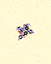 CC(C)Nc1nc(Nc2cc(N(c3ccc(C(=O)NN4CCN(C)CC4)cc3)N3CCN(C)CC3)ccc2C(N)=O)ncc1[N+](=O)[O-]